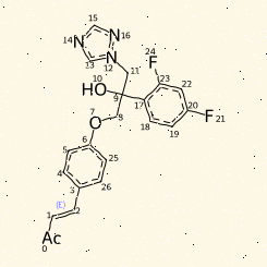 CC(=O)/C=C/c1ccc(OCC(O)(Cn2cncn2)c2ccc(F)cc2F)cc1